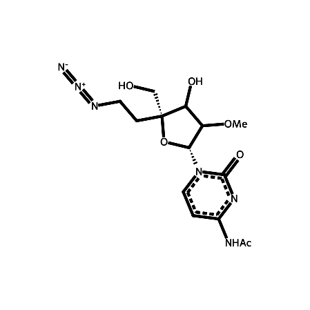 COC1C(O)[C@](CO)(CCN=[N+]=[N-])O[C@H]1n1ccc(NC(C)=O)nc1=O